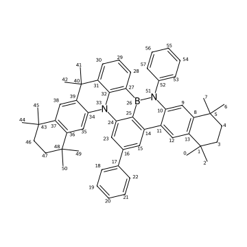 CC1(C)CCC(C)(C)c2cc3c(cc21)-c1cc(-c2ccccc2)cc2c1B(c1cccc4c1N2c1cc2c(cc1C4(C)C)C(C)(C)CCC2(C)C)N3c1ccccc1